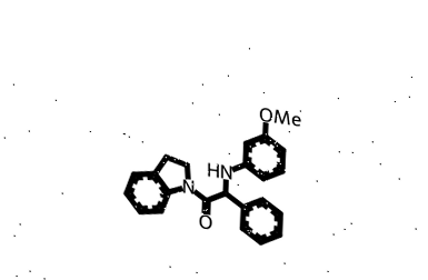 COc1cccc(NC(C(=O)N2CCc3ccccc32)c2ccccc2)c1